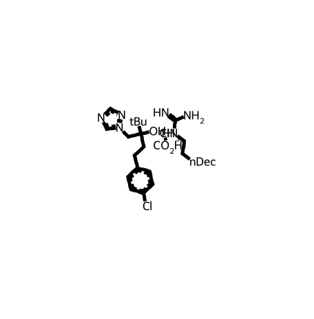 CC(=O)O.CC(C)(C)C(O)(CCc1ccc(Cl)cc1)Cn1cncn1.CCCCCCCCCCCCNC(=N)N